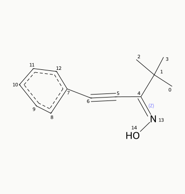 CC(C)(C)/C(C#Cc1ccccc1)=N/O